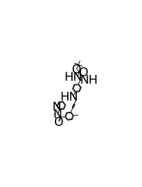 Cc1ccc(C(=O)N(C)c2ccccn2)cc1C#CCNc1ccc(C(=N)NC(=O)OC(C)(C)C)cc1